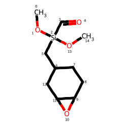 CO[Si](C=O)(CC1CCC2OC2C1)OC